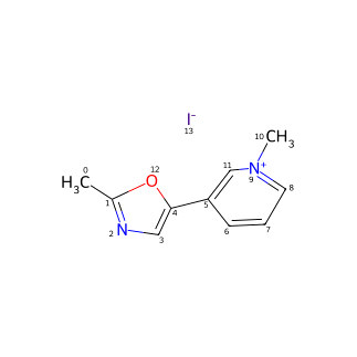 Cc1ncc(-c2ccc[n+](C)c2)o1.[I-]